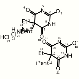 CCCC(C)C1(CC)C(=O)N=C([O-])NC1=O.CCCC(C)C1(CC)C(=O)N=C([O-])NC1=O.Cl.Cl.[Na+].[Na+]